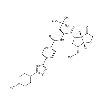 CC[C@H]1CN(C(=O)[C@H](CC(C)(C)C)NC(=O)c2ccc(-c3csc(N4CCN(C)CC4)n3)cc2)[C@@H]2C(=O)CO[C@H]12